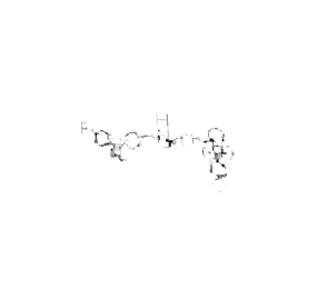 COc1ccc(S(=O)(=O)N2CCCCC2CCOCC(=O)NCCC2CCC(C(c3ccc(F)cc3)N(C)C)CC2)cc1